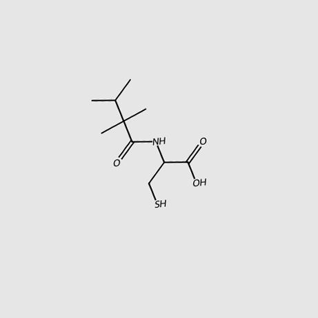 CC(C)C(C)(C)C(=O)NC(CS)C(=O)O